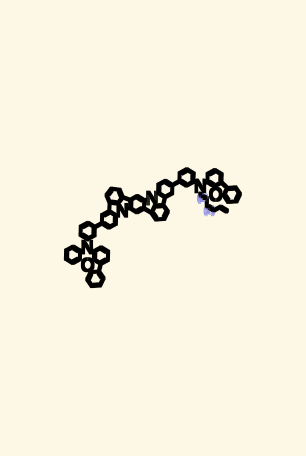 C=C/C=C\C=C\N(c1cccc(C2=CC=C3C(C2)c2cccc4c5cc6c(cc5n3c24)c2cccc3c4cc(-c5cccc(N(c7ccccc7)c7cccc8c7oc7ccccc78)c5)ccc4n6c32)c1)c1cccc2c1oc1ccccc12